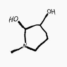 CN1CCC(O)C1O